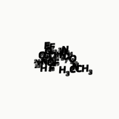 CN(C)CCOc1ccn2c(-c3cc(OC(F)F)c(C(=O)NC4CC4)c(OC(F)F)c3)cnc2c1